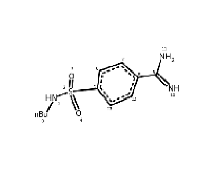 CCCCNS(=O)(=O)c1ccc(C(=N)N)cc1